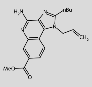 C=CCn1c(CCCC)nc2c(N)nc3cc(C(=O)OC)ccc3c21